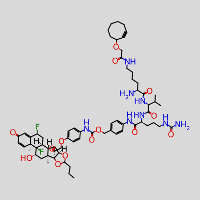 CCCC1O[C@@H]2C[C@H]3[C@@H]4C[C@H](F)C5=CC(=O)C=C[C@]5(C)[C@@]4(F)[C@@H](O)C[C@]3(C)[C@]2(C(=O)COc2ccc(NC(=O)OCc3ccc(NC(=O)[C@H](CCCNC(N)=O)NC(=O)[C@@H](NC(=O)[C@@H](N)CCCCNC(=O)COC4C#CCCCCC4)C(C)C)cc3)cc2)O1